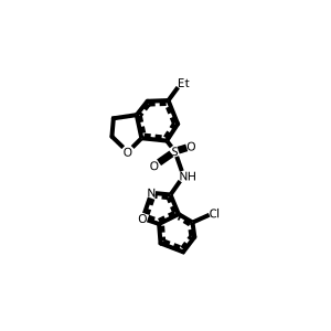 CCc1cc2c(c(S(=O)(=O)Nc3noc4cccc(Cl)c34)c1)OCC2